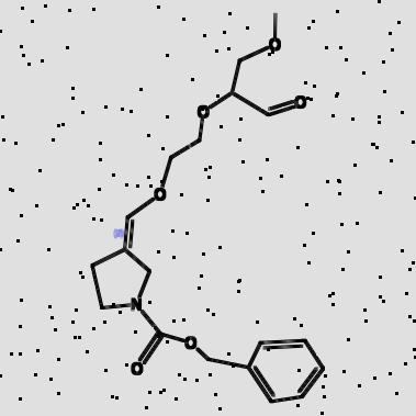 COCC(C=O)OCCO/C=C1/CCN(C(=O)OCc2ccccc2)C1